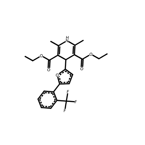 CCOC(=O)C1=C(C)NC(C)=C(C(=O)OCC)C1c1ccc(-c2ccccc2C(F)(F)F)o1